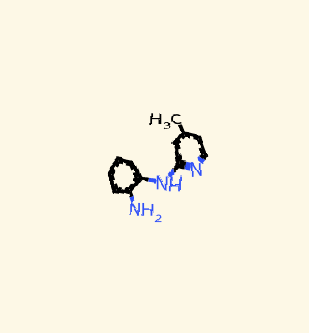 Cc1ccnc(Nc2ccccc2N)c1